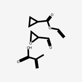 C=C(C)C(=O)O.C=COC(=O)C1CC1.O=CC1CO1